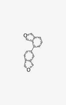 c1cc(-c2ccc3cocc3c2)c2cocc2c1